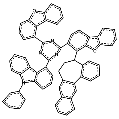 c1ccc(-n2c3ccccc3c3c(-c4nc(-c5ccc6c(oc7ccccc76)c5C5CCc6cc7ccccc7cc6-c6ccccc65)nc(-c5cccc6oc7ccccc7c56)n4)cccc32)cc1